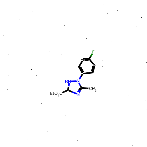 CCOC(=O)C1N=C(C)N(c2ccc(F)cc2)N1